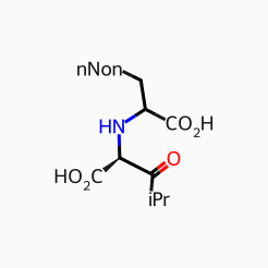 CCCCCCCCCCC(N[C@H](C(=O)O)C(=O)C(C)C)C(=O)O